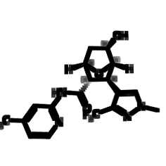 Cn1cc([C@@H]2[C@@H]3O[C@@H](C[C@H]3O)[C@H]2C(=O)Nc2cc(C(F)(F)F)ccn2)c(C(F)(F)F)n1